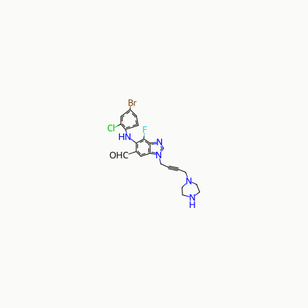 O=Cc1cc2c(ncn2CC#CCN2CCNCC2)c(F)c1Nc1ccc(Br)cc1Cl